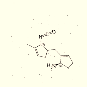 CC1=CCC(CC2=CCC[C@H]2N)[C@H]1N=C=O